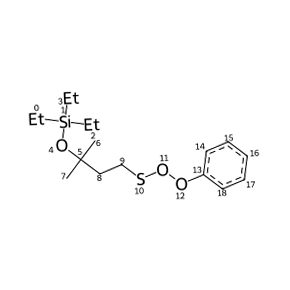 CC[Si](CC)(CC)OC(C)(C)CCSOOc1ccccc1